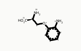 Nc1ccccc1OC[C@H](N)C(=O)O